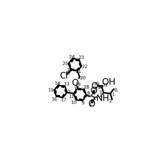 CC(C)C(NS(=O)(=O)c1ccc(-c2ccccc2)c(OCc2ccccc2Cl)c1)C(=O)O